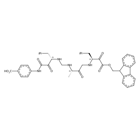 CC(C)C[C@H](NCN[C@@H](C)C(=O)CN[C@@H](CC(C)C)C(=O)C(=O)OCC1c2ccccc2-c2ccccc21)C(=O)C(=O)Nc1ccc(C(=O)O)cc1